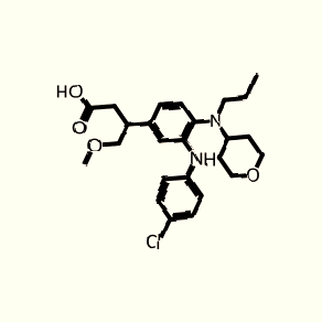 CCCN(c1ccc(C(COC)CC(=O)O)cc1Nc1ccc(Cl)cc1)C1CCOCC1